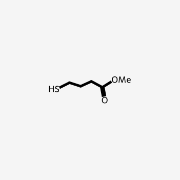 COC(=O)CCCS